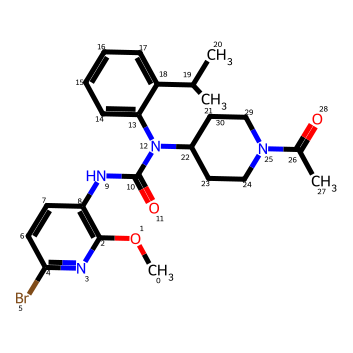 COc1nc(Br)ccc1NC(=O)N(c1ccccc1C(C)C)C1CCN(C(C)=O)CC1